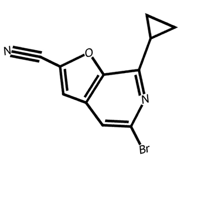 N#Cc1cc2cc(Br)nc(C3CC3)c2o1